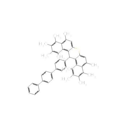 Cc1c(C)c(C)c2c3c(cc(C)c2c1C)Sc1cc(C)c2c(C)c(C)c(C)c(C)c2c1C3c1ccc(-c2ccc(-c3ccccc3)cc2)cc1